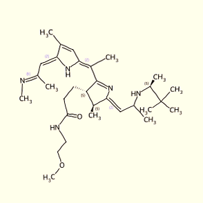 C/N=C(C)/C=c1\[nH]/c(=C(/C)C2=N/C(=C\C(C)N[C@@H](C)C(C)(C)C)[C@@H](C)[C@@H]2CCC(=O)NCCOC)cc1C